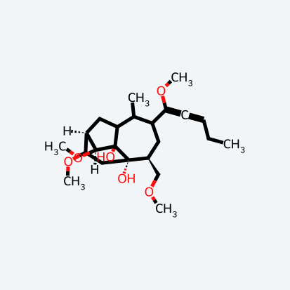 CCC=C=C(OC)C1C[C@@H](COC)[C@@]2(O)CC(OC)[C@H]3CC(C1C)C2(O)[C@H]3OC